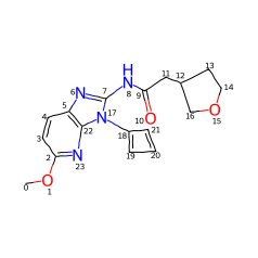 COc1ccc2nc(NC(=O)CC3CCOC3)n(C3=CC=C3)c2n1